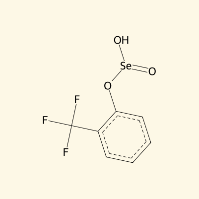 O=[Se](O)Oc1ccccc1C(F)(F)F